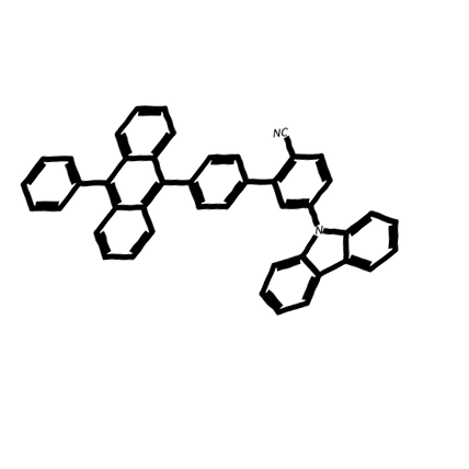 N#Cc1ccc(-n2c3ccccc3c3ccccc32)cc1-c1ccc(-c2c3ccccc3c(-c3ccccc3)c3ccccc23)cc1